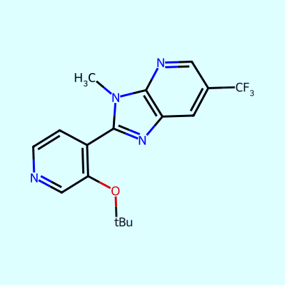 Cn1c(-c2ccncc2OC(C)(C)C)nc2cc(C(F)(F)F)cnc21